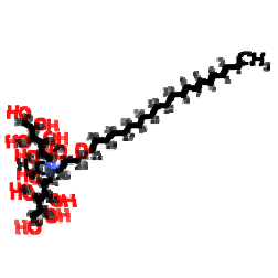 CCCCCCCCCCCCCCCCCCCCCCOCC(O)C[N+](C)(C[C@H](O)[C@@H](O)[C@H](O)[C@H](O)CO)C[C@H](O)[C@@H](O)[C@H](O)[C@H](O)CO